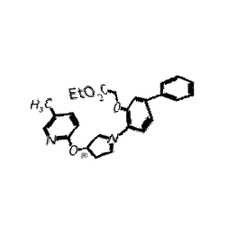 CCOC(=O)COc1cc(-c2ccccc2)ccc1N1CC[C@@H](Oc2ccc(C)cn2)C1